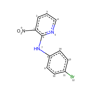 O=[N+]([O-])c1cccnc1Nc1ccc(Br)cc1